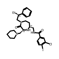 CC[C@H](CN1CC[C@@H](CNC(=O)c2ccc(I)c(Cl)c2)N[C@@H](CN2CCCCC2)C1=O)c1ccccc1